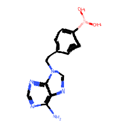 Nc1ncnc2c1ncn2Cc1ccc(B(O)O)cc1